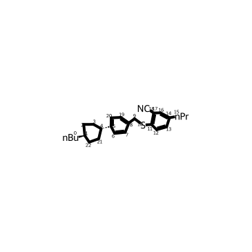 CCCC[C@H]1CC[C@H](c2ccc(CSc3ccc(CCC)cc3C#N)cc2)CC1